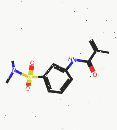 C=C(C)C(=O)Nc1cccc(S(=O)(=O)N(C)C)c1